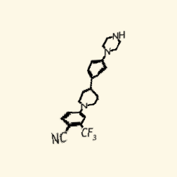 N#Cc1ccc(N2CCC(c3ccc(N4CCNCC4)cc3)CC2)cc1C(F)(F)F